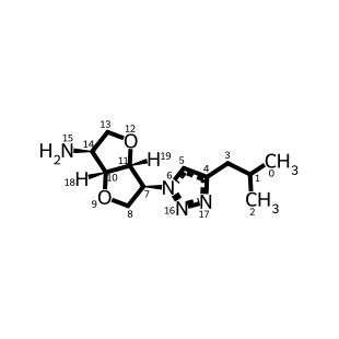 CC(C)Cc1cn([C@H]2CO[C@H]3[C@@H]2OC[C@@H]3N)nn1